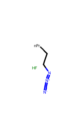 CCCCCN=[N+]=[N-].F